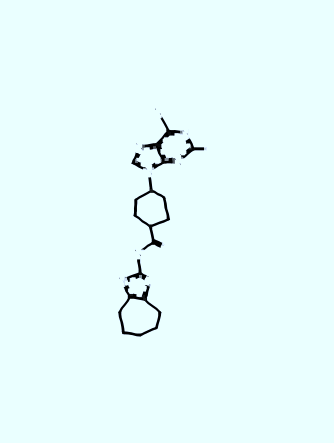 Nc1nc(Cl)nc2c1ncn2C1CCC(C(=O)Nc2nc3c(s2)CCCCC3)CC1